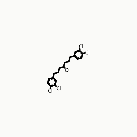 O=C(CCCc1ccc(Cl)c(Cl)c1)CCCc1ccc(Cl)c(Cl)c1